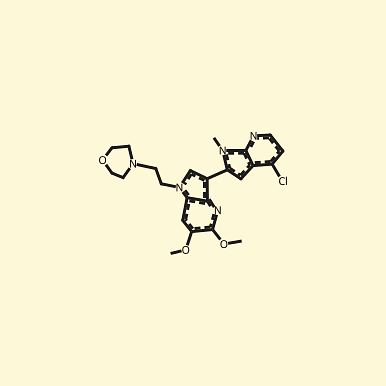 COc1cc2c(nc1OC)c(-c1cc3c(Cl)ccnc3n1C)cn2CCN1CCOCC1